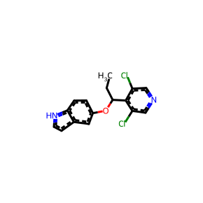 CCC(Oc1ccc2[nH]ccc2c1)c1c(Cl)cncc1Cl